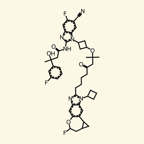 CC(C)(CC(=O)CCCCc1nc2cc3c(cc2n1C1CCC1)C1CC1CC(F)O3)OC1CC(n2c(NC(=O)CC(C)(O)c3cccc(F)c3)nc3cc(F)c(C#N)cc32)C1